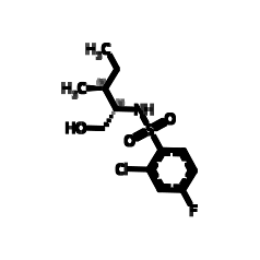 CC[C@H](C)[C@@H](CO)NS(=O)(=O)c1ccc(F)cc1Cl